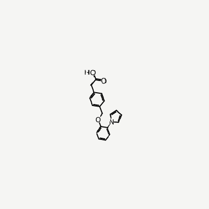 O=C(O)Cc1ccc(COc2ccccc2-n2cccc2)cc1